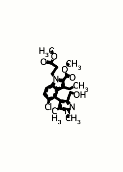 CCc1c(C(=O)OC)n(CCC(=O)OC)c2ccc(Cl)c(-c3c(CO)nn(C)c3C)c12